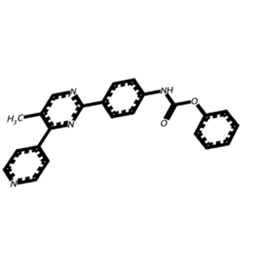 Cc1cnc(-c2ccc(NC(=O)Oc3ccccc3)cc2)nc1-c1ccncc1